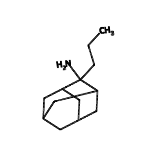 CCCC1(N)C2CC3CC(C2)CC1C3